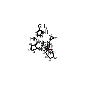 Cc1cc(Nc2nc(NC3CC4CCC(C3)N4C(=O)CNC3CC3)nc3sccc23)n[nH]1